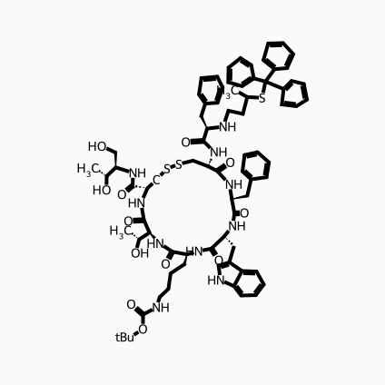 CC(CCN[C@H](Cc1ccccc1)C(=O)N[C@H]1CSSC[C@@H](C(=O)N[C@H](CO)[C@@H](C)O)NC(=O)[C@H]([C@@H](C)O)NC(=O)[C@H](CCCCNC(=O)OC(C)(C)C)NC(=O)[C@@H](Cc2c[nH]c3ccccc23)NC(=O)[C@H](Cc2ccccc2)NC1=O)SC(c1ccccc1)(c1ccccc1)c1ccccc1